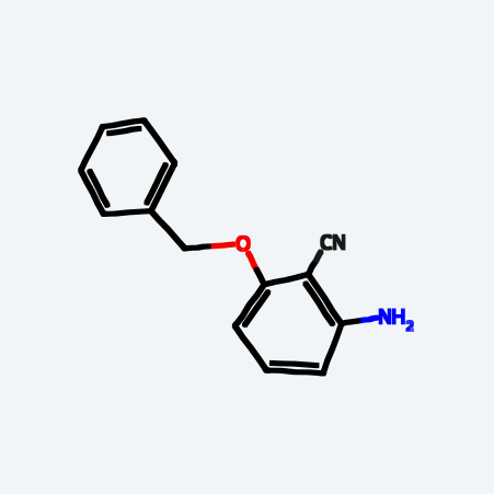 N#Cc1c(N)cccc1OCc1ccccc1